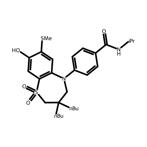 CCCCC1(CCCC)CN(c2ccc(C(=O)NC(C)C)cc2)c2cc(SC)c(O)cc2S(=O)(=O)C1